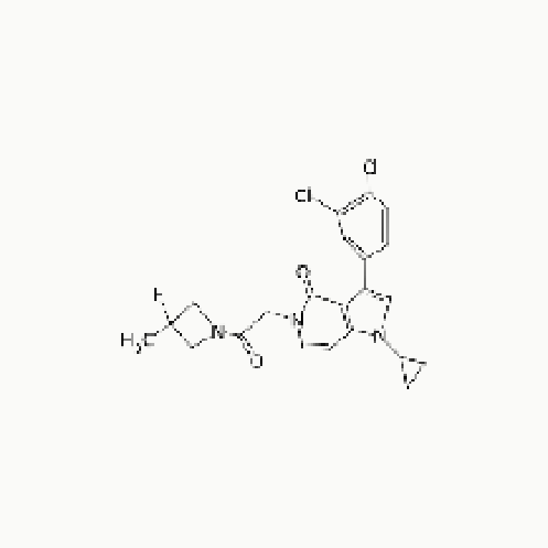 CC1(F)CN(C(=O)Cn2ccc3c(c(-c4ccc(Cl)c(Cl)c4)cn3C3CC3)c2=O)C1